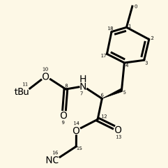 Cc1ccc(C[C@H](NC(=O)OC(C)(C)C)C(=O)OCC#N)cc1